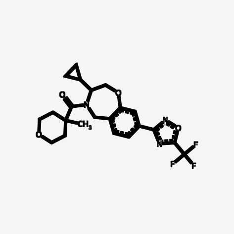 CC1(C(=O)N2Cc3ccc(-c4noc(C(F)(F)F)n4)cc3OCC2C2CC2)CCOCC1